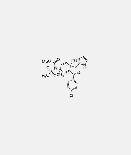 COC(=O)N(C1(C)C=CC(C)(Cc2ccc[nH]2)C(C(=O)c2ccc(Cl)cc2)=C1)S(C)(=O)=O